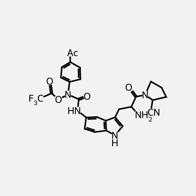 CC(=O)c1ccc(N(OC(=O)C(F)(F)F)C(=O)Nc2ccc3[nH]cc(CC(N)C(=O)N4CCCC4C#N)c3c2)cc1